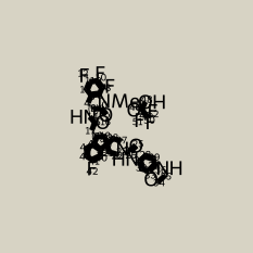 CNC(=O)[C@@H](Cc1cc(F)c(F)c(F)c1)NC(=O)C[C@@H]1CC2(CCN(C(=O)Nc3ccc4c(c3)OCCN4)CC2)c2cc(F)ccc21.O=C(O)C(F)(F)F